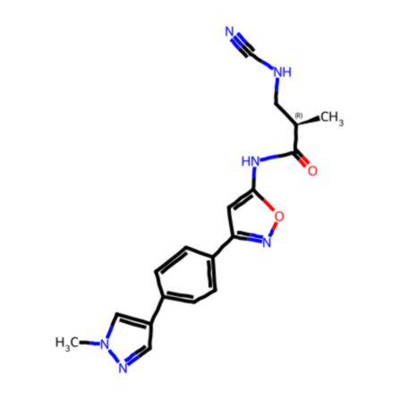 C[C@H](CNC#N)C(=O)Nc1cc(-c2ccc(-c3cnn(C)c3)cc2)no1